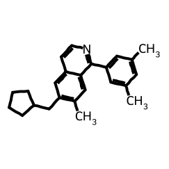 Cc1cc(C)cc(-c2nccc3cc(CC4CCCC4)c(C)cc23)c1